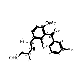 CC[C@@H](N[C@@H](C)CC=O)c1ccc(OC)c(C(=O)c2cccc(F)c2)c1F